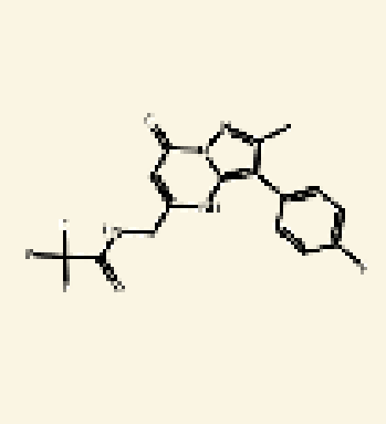 Cc1nn2c(=O)cc(CNC(=O)C(F)(F)F)[nH]c2c1-c1ccc(F)cc1